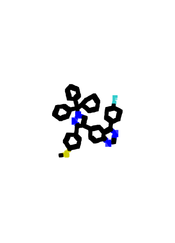 CSc1ccc(-c2nn(C(c3ccccc3)(c3ccccc3)C3C=CC=CC3)cc2-c2ccc3ncnc(-c4ccc(F)cc4)c3c2)cc1